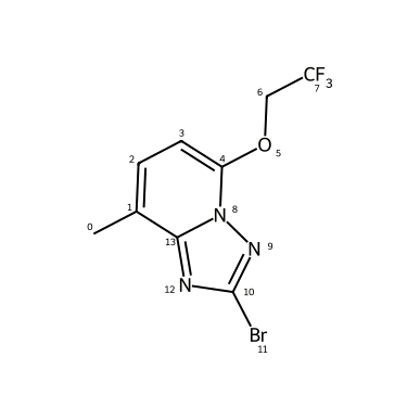 Cc1ccc(OCC(F)(F)F)n2nc(Br)nc12